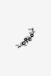 COc1cc(-c2nccc(-c3cccc(-c4ccc(CNCC(C)O)c(OC)n4)c3C(F)(F)F)c2Cl)ccc1CNCC(C)O